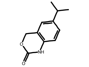 CC(C)c1ccc2c(c1)COC(=O)N2